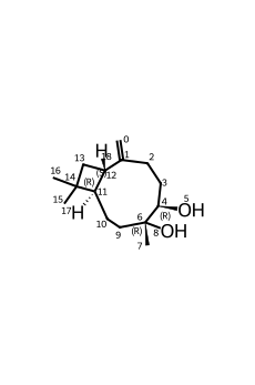 C=C1CC[C@@H](O)[C@](C)(O)CC[C@@H]2[C@@H]1CC2(C)C